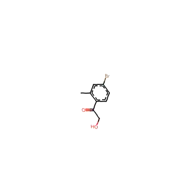 Cc1cc(Br)ccc1C(=O)CO